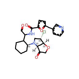 O=CC(NC(=O)c1ccc(-c2cccnc2)o1)C1CCCC[C@@H]1N1C[C@H](Cl)[C@H]2OCC(=O)[C@H]21